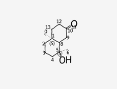 C[C@@]12CCC[C@](C)(O)C1CC(=O)CC2